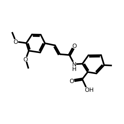 COc1ccc(C=CC(=O)Nc2ccc(C)cc2C(=O)O)cc1OC